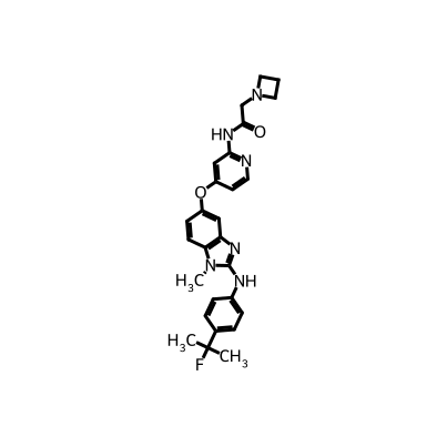 Cn1c(Nc2ccc(C(C)(C)F)cc2)nc2cc(Oc3ccnc(NC(=O)CN4CCC4)c3)ccc21